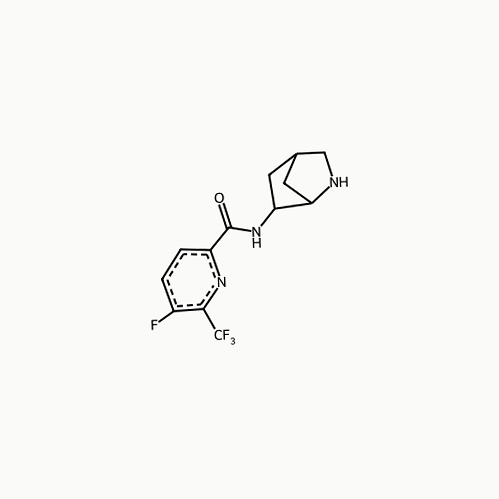 O=C(NC1CC2CNC1C2)c1ccc(F)c(C(F)(F)F)n1